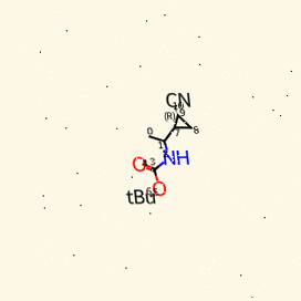 CC(NC(=O)OC(C)(C)C)C1C[C@H]1C#N